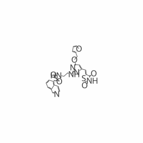 O=C1NC(=O)C(=Cc2cc(OCc3ccco3)nc(NCCNS(=O)(=O)c3cccc4cnccc34)n2)S1